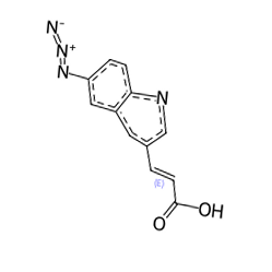 [N-]=[N+]=Nc1ccc2ncc(/C=C/C(=O)O)cc2c1